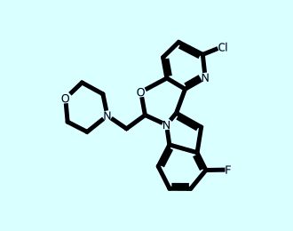 Fc1cccc2c1cc1n2C(CN2CCOCC2)Oc2ccc(Cl)nc2-1